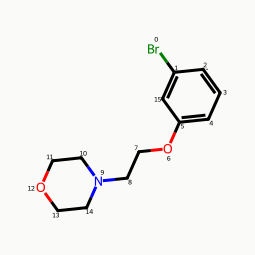 Brc1[c]ccc(OCCN2CCOCC2)c1